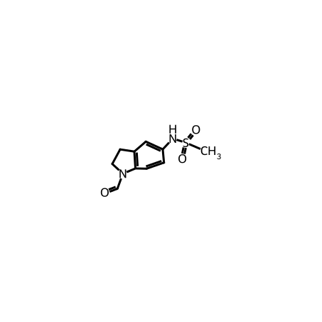 CS(=O)(=O)Nc1ccc2c(c1)CCN2C=O